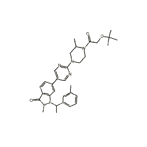 Cc1cccc(C(C)n2c3cc(-c4cnc(N5CCN(C(=O)COC(C)(C)C)C(C)C5)nc4)ccc3c(=O)n2C)c1